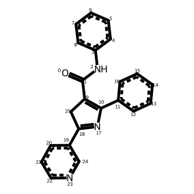 O=C(Nc1ccccc1)C1=C(c2ccccc2)N=C(c2cccnc2)C1